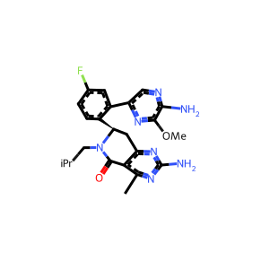 COc1nc(-c2cc(F)ccc2[C@H]2Cc3nc(N)nc(C)c3C(=O)N2CC(C)C)cnc1N